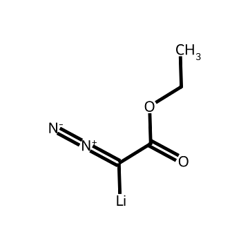 [Li][C](=[N+]=[N-])C(=O)OCC